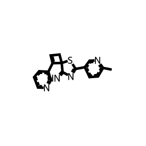 Cc1ccc(C2=NC(=N)C3(CC=C3c3cccnc3)S2)cn1